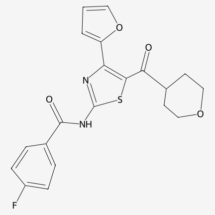 O=C(Nc1nc(-c2ccco2)c(C(=O)C2CCOCC2)s1)c1ccc(F)cc1